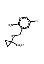 CCOC(=O)C1(NCc2cc(Br)cnc2N)CC1